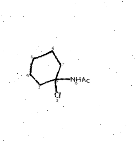 CC(=O)NC1(Cl)CCCCC1